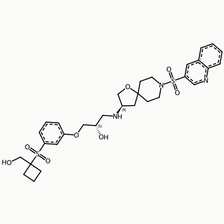 O=S(=O)(c1cnc2ccccc2c1)N1CCC2(CC1)C[C@@H](NC[C@H](O)COc1cccc(S(=O)(=O)C3(CO)CCC3)c1)CO2